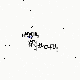 C=c1cn[nH]/c1=C/C(=C\C)c1cnc(Nc2ccc(N3CCN(C(C)C)CC3)nc2)c2ncnn12